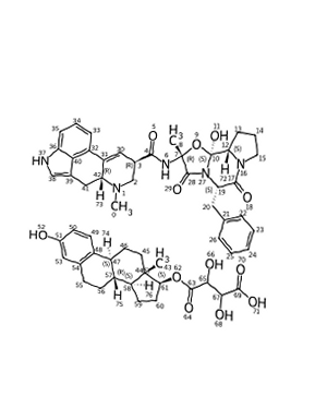 CN1C[C@H](C(=O)N[C@]2(C)O[C@@]3(O)[C@@H]4CCCN4C(=O)[C@H](Cc4ccccc4)N3C2=O)C=C2c3cccc4[nH]cc(c34)C[C@H]21.C[C@]12CC[C@@H]3c4ccc(O)cc4CC[C@H]3[C@@H]1CC[C@@H]2OC(=O)C(O)C(O)C(=O)O